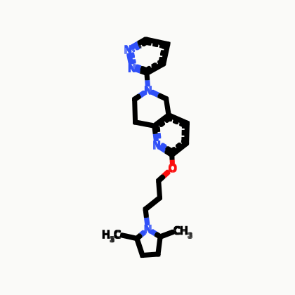 CC1CCC(C)N1CCCOc1ccc2c(n1)CCN(c1cccnn1)C2